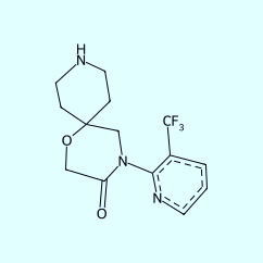 O=C1COC2(CCNCC2)CN1c1ncccc1C(F)(F)F